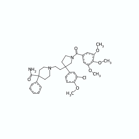 COc1ccc(C2(CCN3CCC(C(N)=O)(c4ccccc4)CC3)CCN(C(=O)c3cc(OC)c(OC)c(OC)c3)C2)cc1Cl